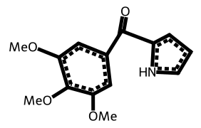 COc1cc(C(=O)c2ccc[nH]2)cc(OC)c1OC